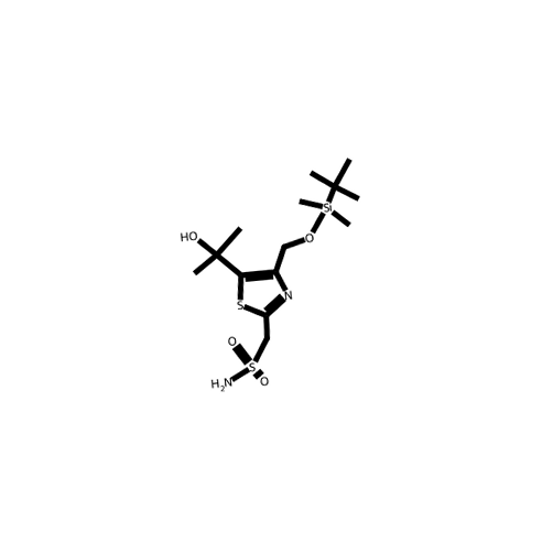 CC(C)(O)c1sc(CS(N)(=O)=O)nc1CO[Si](C)(C)C(C)(C)C